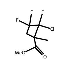 COC(=O)C1(C)CC(F)(F)C1(F)Cl